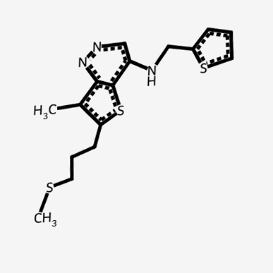 CSCCCc1sc2c(NCc3cccs3)cnnc2c1C